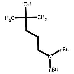 CCCCN(CCCC)CCCC(C)(C)O